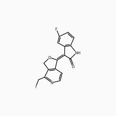 O=C1Nc2ccc(F)cc2/C1=C1\OCc2c1ccnc2CI